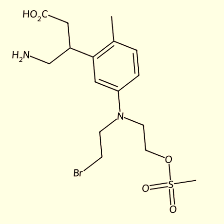 Cc1ccc(N(CCBr)CCOS(C)(=O)=O)cc1C(CN)CC(=O)O